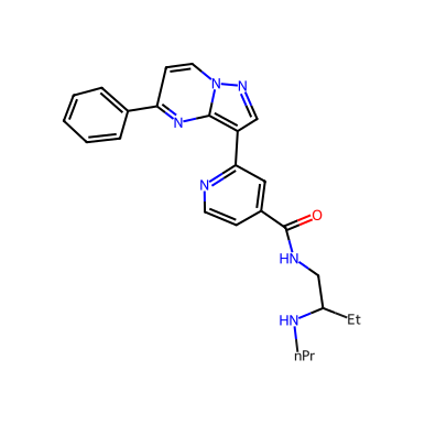 CCCNC(CC)CNC(=O)c1ccnc(-c2cnn3ccc(-c4ccccc4)nc23)c1